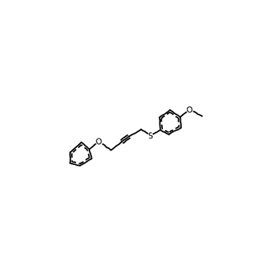 COc1ccc(SCC#CCOc2ccccc2)cc1